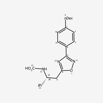 CCCCCCCCCCc1ccc(-c2noc(C[C@@H](NC(=O)O)C(C)C)n2)cc1